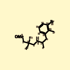 COCC(F)(F)CNC(C)Cc1cccc(Br)c1C